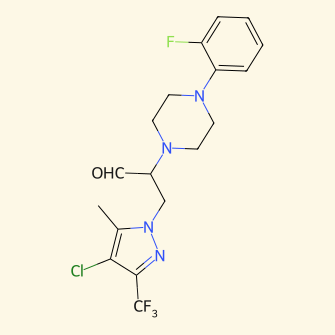 Cc1c(Cl)c(C(F)(F)F)nn1CC(C=O)N1CCN(c2ccccc2F)CC1